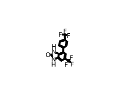 O=c1[nH]c2cc(C(F)(F)F)cc(-c3ccc(C(F)(F)F)cc3)c2[nH]1